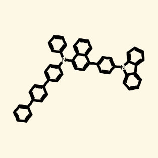 c1ccc(-c2ccc(-c3ccc(N(c4ccccc4)c4ccc(-c5ccc(-n6c7ccccc7c7ccccc76)cc5)c5ccccc45)cc3)cc2)cc1